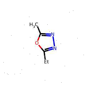 CCc1nnc(C)o1